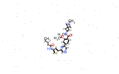 CCCCC(=O)Nc1csc(-c2cncc(-c3ccc(C(=O)N(C)C4CC5(C4)CN(C)C5)c(OC)c3)n2)c1